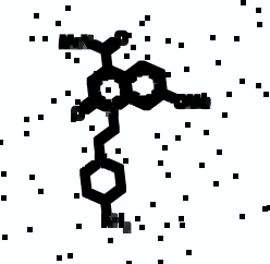 CNC(=O)c1cc(=O)n(CCN2CCC(N)CC2)c2cc(OC)ccc12